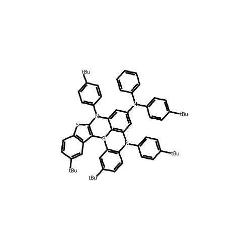 CC(C)(C)c1ccc(N(c2ccccc2)c2cc3c4c(c2)N(c2ccc(C(C)(C)C)cc2)c2sc5ccc(C(C)(C)C)cc5c2B4c2cc(C(C)(C)C)ccc2N3c2ccc(C(C)(C)C)cc2)cc1